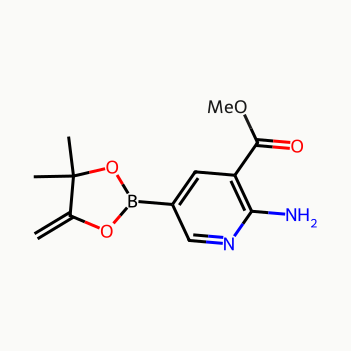 C=C1OB(c2cnc(N)c(C(=O)OC)c2)OC1(C)C